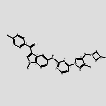 Cc1ccc(C(=O)c2cn(C)c3ccc(Nc4nccc(-n5cc(CN6CC(O)C6)c(C)n5)n4)cc23)cc1